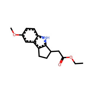 CCOC(=O)CC1CCc2c1[nH]c1ccc(OC)cc21